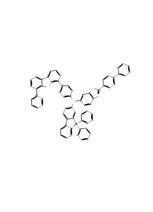 c1ccc(-c2ccc(-c3nc4ccc(N(c5ccc(-c6cccc7c6sc6c(-c8ccccc8)cccc67)cc5)c5ccc6c(c5)C(c5ccccc5)(c5ccccc5)c5ccccc5-6)cc4s3)cc2)cc1